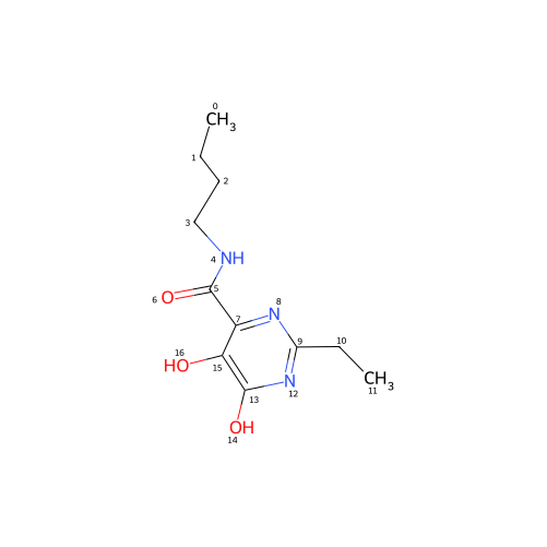 CCCCNC(=O)c1nc(CC)nc(O)c1O